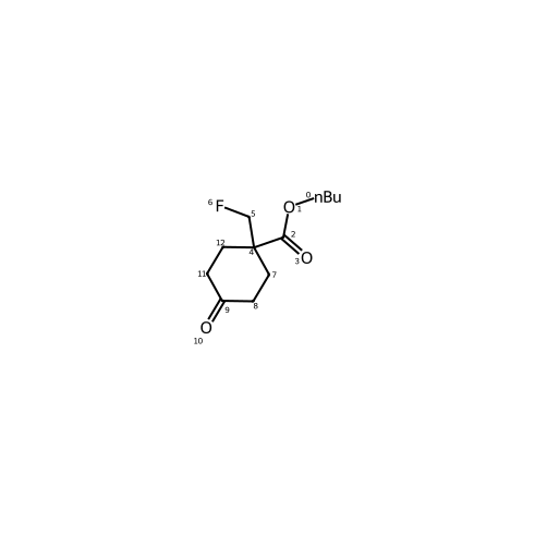 CCCCOC(=O)C1(CF)CCC(=O)CC1